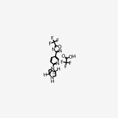 FC(F)(F)c1nc(-c2ccc(N3C[C@@H]4C[C@H]3CN4)nc2)no1.O=C(O)C(F)(F)F